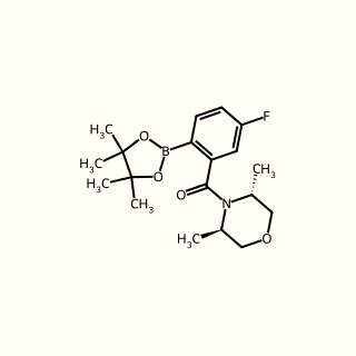 C[C@@H]1COC[C@@H](C)N1C(=O)c1cc(F)ccc1B1OC(C)(C)C(C)(C)O1